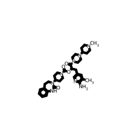 Cc1cc(CC(OC(=O)N2CCC(N3CCc4ccccc4NC3=O)CC2)C(=O)N2CCN(C3CCN(C)CC3)CC2)cnc1N